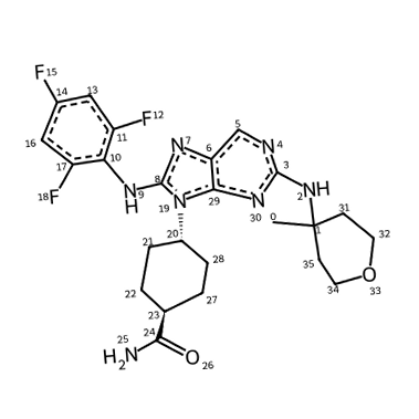 CC1(Nc2ncc3nc(Nc4c(F)cc(F)cc4F)n([C@H]4CC[C@H](C(N)=O)CC4)c3n2)CCOCC1